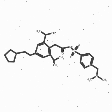 CC(C)c1cc(CCC2CCCC2)cc(C(C)C)c1CC(=O)NS(=O)(=O)c1ccc(CN(C)C)cc1